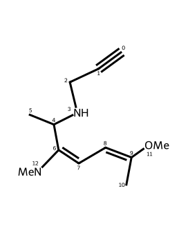 C#CCNC(C)/C(=C\C=C(/C)OC)NC